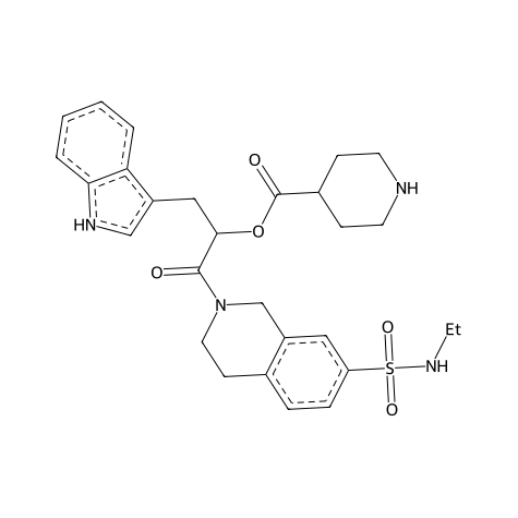 CCNS(=O)(=O)c1ccc2c(c1)CN(C(=O)C(Cc1c[nH]c3ccccc13)OC(=O)C1CCNCC1)CC2